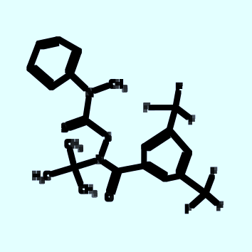 CN(C(=S)SN(C(=O)c1cc(C(F)(F)F)cc(C(F)(F)F)c1)C(C)(C)C)c1ccccc1